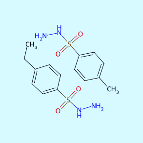 CCc1ccc(S(=O)(=O)NN)cc1.Cc1ccc(S(=O)(=O)NN)cc1